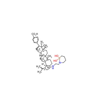 C=C(C)[C@@H]1CC[C@]2(NCCN3CCCCS3(O)O)CC[C@]3(C)[C@H](CC[C@@H]4[C@@]5(C)CC=C(c6ccc(C(=O)O)cc6)C(C)(C)[C@@H]5CC[C@]43C)[C@@H]12